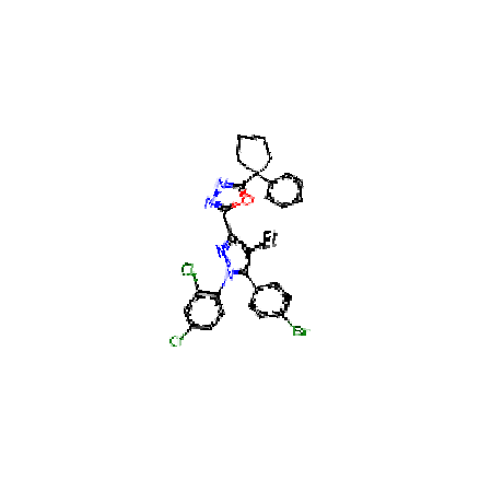 CCc1c(-c2nnc(C3(c4ccccc4)CCCC3)o2)nn(-c2ccc(Cl)cc2Cl)c1-c1ccc(Br)cc1